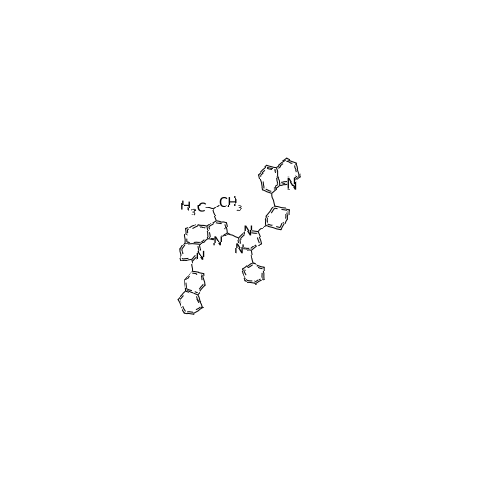 CC(C)c1cc(-c2nc(-c3ccccc3)cc(-c3cccc(-c4cccc5cccnc45)c3)n2)nc2c1ccc1ccc(-c3ccc4ccccc4c3)nc12